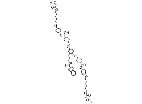 C=CC(=O)OCCCCCCOc1ccc(OC(=O)C2CCC(COc3ccc(OCC4CCC(C(O)Oc5ccc(OCCCCCCOC(=O)C=C)cc5)CC4)cc3CCCNNc3nc4ccccc4s3)CC2)cc1